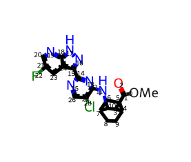 COC(=O)C1C2CCC(CC2)C1Nc1nc(-c2n[nH]c3ncc(F)cc23)ncc1Cl